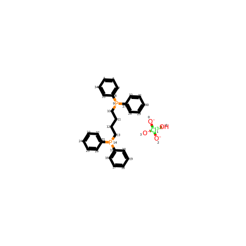 [O-][Cl+3]([O-])([O-])O.c1ccc(P(CCCCP(c2ccccc2)c2ccccc2)c2ccccc2)cc1